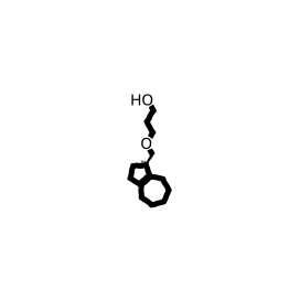 OCCCOC[C@@H]1CCC2=C1CCCCC2